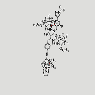 COC(=O)NC(C(=O)NC(Cc1ccc(C#Cc2ccc(N3CC4CCC(C3)N4C(=O)OC(C)(C)C)nc2)cc1)C(O)CN(Cc1c(F)cc(-c2cnn(C(F)F)c2)cc1F)NC(=O)C(NC(=O)OC)C(C)(C)C(F)(F)F)C(C)(C)C(F)(F)F